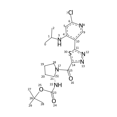 CC(C)Nc1cc(Cl)ncc1-c1nnc(C(=O)N2CCC[C@H]2NC(=O)OC(C)(C)C)s1